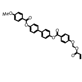 C=CC(=O)OCOc1ccc(C(=O)Oc2ccc(-c3ccc(OC(=O)c4ccc(OC)cc4)cc3)cc2)cc1